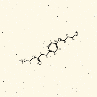 CCOC(=O)CCc1ccc(OCCCCl)cc1